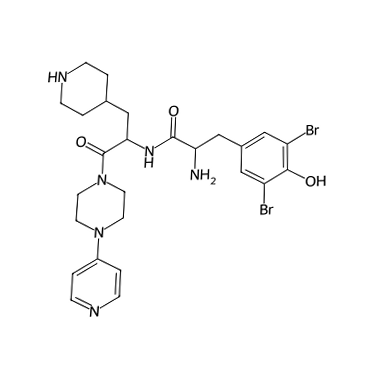 NC(Cc1cc(Br)c(O)c(Br)c1)C(=O)NC(CC1CCNCC1)C(=O)N1CCN(c2ccncc2)CC1